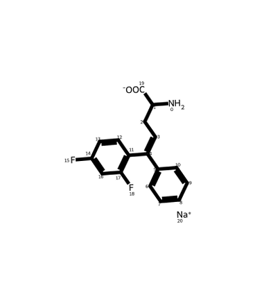 NC(CC=C(c1ccccc1)c1ccc(F)cc1F)C(=O)[O-].[Na+]